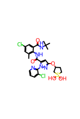 Cc1cc(Cl)cc(C(=O)NC(C)(C)C)c1NC(=O)c1cc(OC2CCS(O)(O)C2)nn1-c1ncccc1Cl